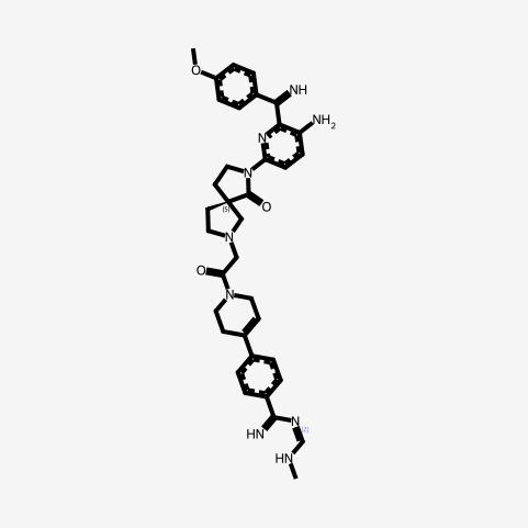 CN/C=N\C(=N)c1ccc(C2=CCN(C(=O)CN3CC[C@]4(CCN(c5ccc(N)c(C(=N)c6ccc(OC)cc6)n5)C4=O)C3)CC2)cc1